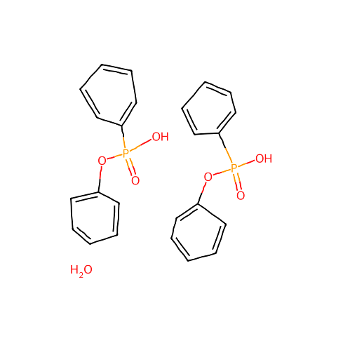 O.O=P(O)(Oc1ccccc1)c1ccccc1.O=P(O)(Oc1ccccc1)c1ccccc1